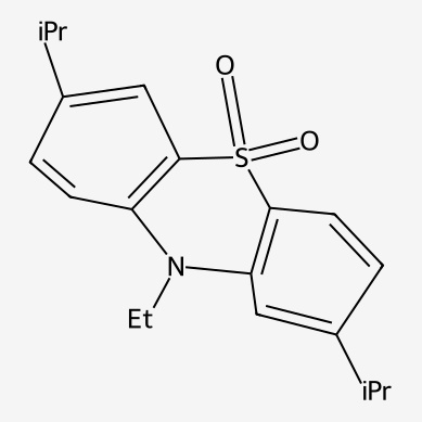 CCN1c2cc(C(C)C)ccc2S(=O)(=O)c2cc(C(C)C)ccc21